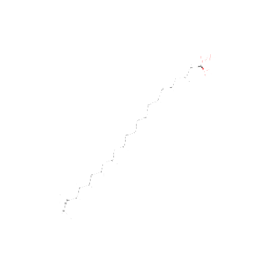 CC[C@@H](C)CCCCCCCCCCCCCCCCCCCCC(=O)O